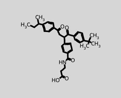 CCC(C)c1ccc(C(=O)CC(C(=O)c2ccc(C(C)(C)C)cc2)c2ccc(C(=O)NCCC(=O)O)cc2)cc1